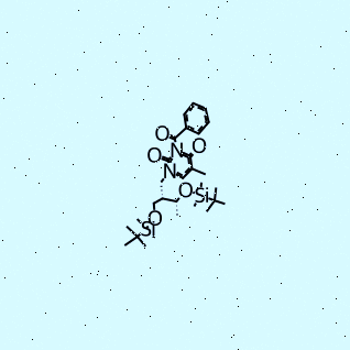 Cc1cn(C[C@@H](CO[Si](C)(C)C(C)(C)C)[C@@H](C)O[Si](C)(C)C(C)(C)C)c(=O)n(C(=O)c2ccccc2)c1=O